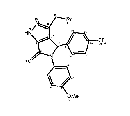 COc1ccc(N2C(=O)c3[nH]nc(CC(C)C)c3C2c2ccc(C(F)(F)F)cc2)cc1